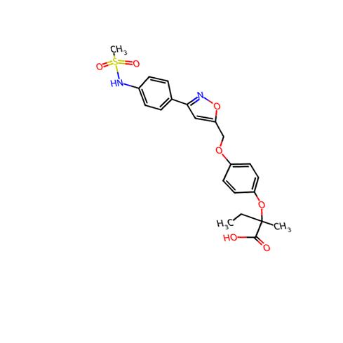 CCC(C)(Oc1ccc(OCc2cc(-c3ccc(NS(C)(=O)=O)cc3)no2)cc1)C(=O)O